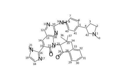 CN1CCC(c2ccc(Nc3ncc4cc(-c5nccn5C)c(=O)n(C5C(=O)c6ccccc6CC5(C)C)c4n3)cc2)C1